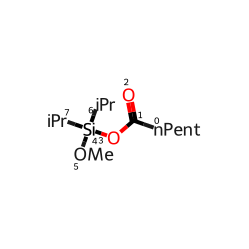 CCCCCC(=O)O[Si](OC)(C(C)C)C(C)C